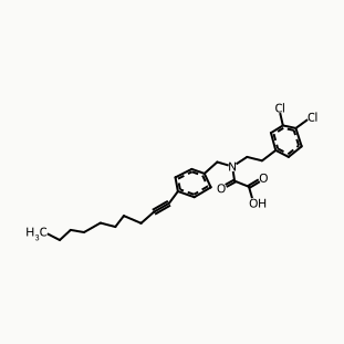 CCCCCCCCC#Cc1ccc(CN(CCc2ccc(Cl)c(Cl)c2)C(=O)C(=O)O)cc1